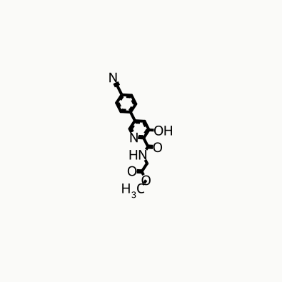 COC(=O)CNC(=O)c1ncc(-c2ccc(C#N)cc2)cc1O